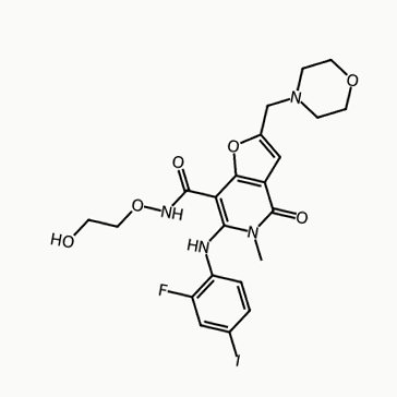 Cn1c(Nc2ccc(I)cc2F)c(C(=O)NOCCO)c2oc(CN3CCOCC3)cc2c1=O